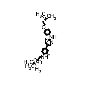 CCN(CC)CCOc1ccc(Nc2ncc(-c3ccc(NCC(=O)OC(C)(C)C)c(F)c3)cn2)cc1